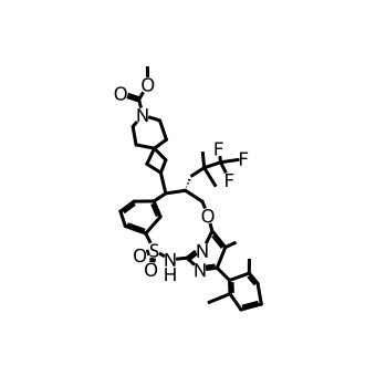 COC(=O)N1CCC2(CC1)CC(C1c3cccc(c3)S(=O)(=O)Nc3nc(c(C)c(-c4c(C)cccc4C)n3)OC[C@H]1CC(C)(C)C(F)(F)F)C2